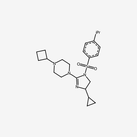 CC(C)c1ccc(S(=O)(=O)N2CC(C3CC3)N=C2N2CCN(C3CCC3)CC2)cc1